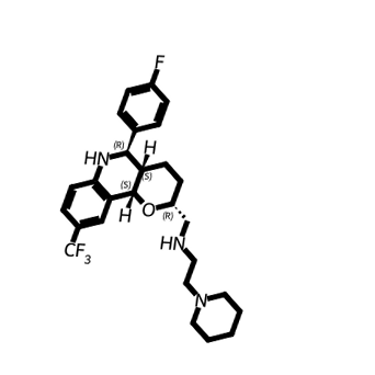 Fc1ccc([C@@H]2Nc3ccc(C(F)(F)F)cc3[C@H]3O[C@@H](CNCCN4CCCCC4)CC[C@H]32)cc1